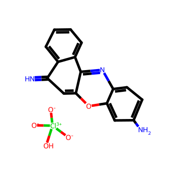 N=c1cc2oc3cc(N)ccc3nc-2c2ccccc12.[O-][Cl+3]([O-])([O-])O